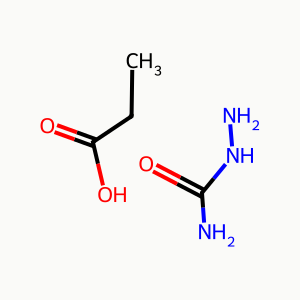 CCC(=O)O.NNC(N)=O